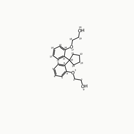 OCCOc1ccccc1C1(c2ccccc2OCCO)CCCC1